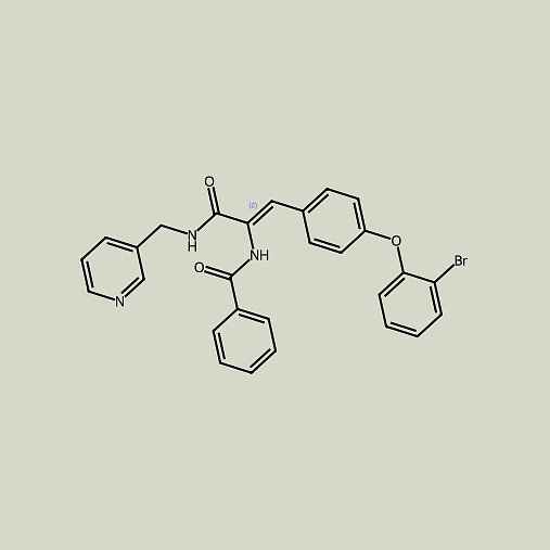 O=C(NCc1cccnc1)/C(=C/c1ccc(Oc2ccccc2Br)cc1)NC(=O)c1ccccc1